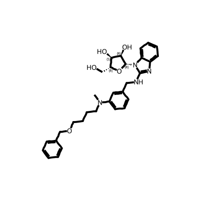 CN(CCCCOCc1ccccc1)c1cccc(CNc2nc3ccccc3n2[C@@H]2O[C@H](CO)[C@@H](O)[C@H]2O)c1